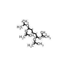 CC(C)OC(CCCC(OC(C)C)OC(C)C)OC(C)C